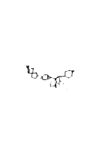 CC(C)n1nc(C2CCC(=O)CC2)cc1C1[C@H]2CC(N3CCC4(C3)CS(=O)(=O)C4)C[C@@H]12